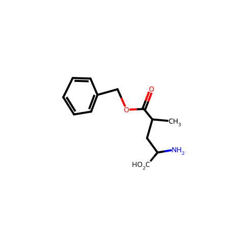 CC(CC(N)C(=O)O)C(=O)OCc1ccccc1